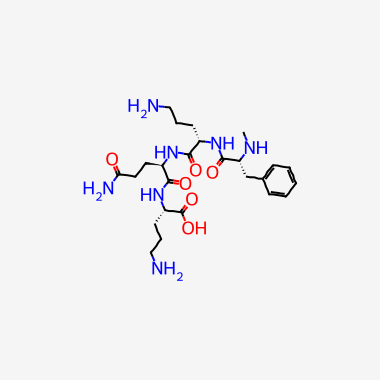 CN[C@H](Cc1ccccc1)C(=O)N[C@@H](CCCN)C(=O)N[C@H](CCC(N)=O)C(=O)N[C@@H](CCCN)C(=O)O